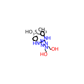 Cc1ccc(Nc2nc(Nc3ccccc3)nc(N(CCO)CCO)n2)cc1CS(=O)(=O)O